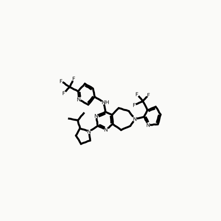 CC(C)C1CCCN1c1nc2c(c(Nc3ccc(C(F)(F)F)nc3)n1)CCN(c1ncccc1C(F)(F)F)CC2